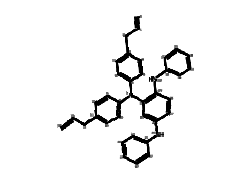 C=CCc1ccc(N(c2ccc(CC=C)cc2)c2cc(Nc3ccccc3)ccc2Nc2ccccc2)cc1